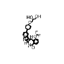 CN1C(=O)c2cccc(OC(F)F)c2[C@H]2C[C@@H]1c1nn3ccc(C4CCC(OC[C@H](O)CO)CC4)cc3c12